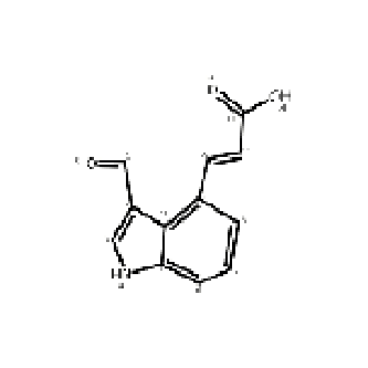 O=Cc1c[nH]c2cccc(/C=C/C(=O)O)c12